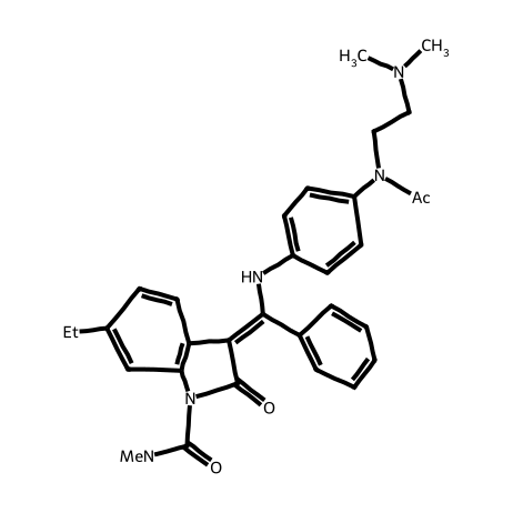 CCc1ccc2c(c1)N(C(=O)NC)C(=O)C2=C(Nc1ccc(N(CCN(C)C)C(C)=O)cc1)c1ccccc1